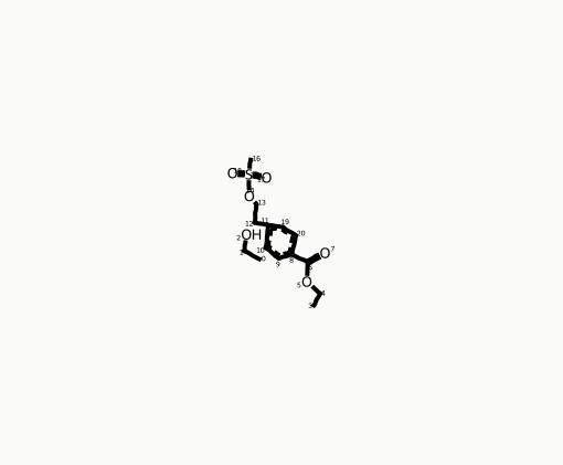 CCO.CCOC(=O)c1ccc(CCOS(C)(=O)=O)cc1